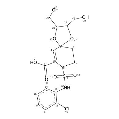 O=C(O)C1=CC2(CCC1S(=O)(=O)Nc1ccccc1Cl)OC(CO)C(CO)O2